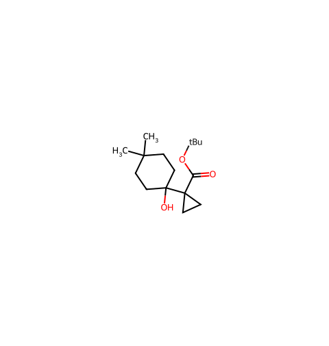 CC1(C)CCC(O)(C2(C(=O)OC(C)(C)C)CC2)CC1